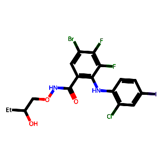 CCC(O)CONC(=O)c1cc(Br)c(F)c(F)c1Nc1ccc(I)cc1Cl